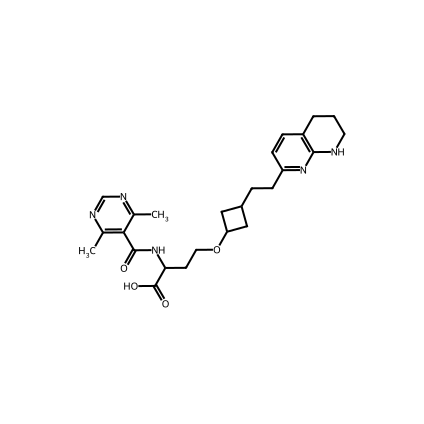 Cc1ncnc(C)c1C(=O)NC(CCOC1CC(CCc2ccc3c(n2)NCCC3)C1)C(=O)O